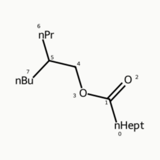 CCCCCCCC(=O)OCC(CCC)CCCC